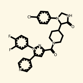 O=C1NCN(c2ccc(Cl)cc2)C1C1CCN(C(=O)c2cc(-c3ccncc3)n(-c3ccc(F)c(F)c3)n2)CC1